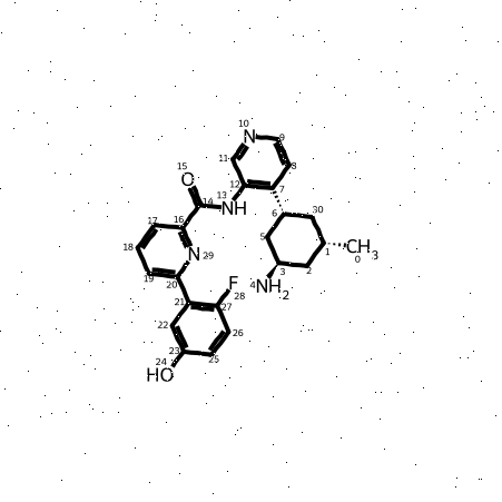 C[C@@H]1C[C@@H](N)C[C@H](c2ccncc2NC(=O)c2cccc(-c3cc(O)ccc3F)n2)C1